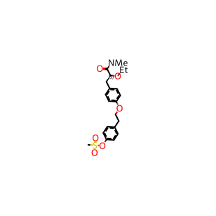 CCO[C@@H](Cc1ccc(OCCc2ccc(OS(C)(=O)=O)cc2)cc1)C(=O)NC